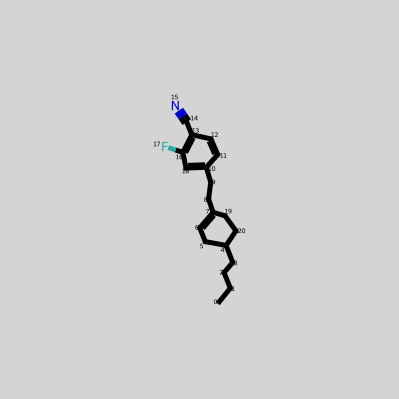 CCCCC1CC=C(CCc2ccc(C#N)c(F)c2)CC1